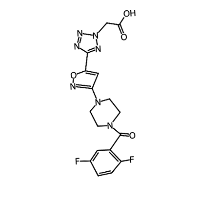 O=C(O)Cn1nnc(-c2cc(N3CCN(C(=O)c4cc(F)ccc4F)CC3)no2)n1